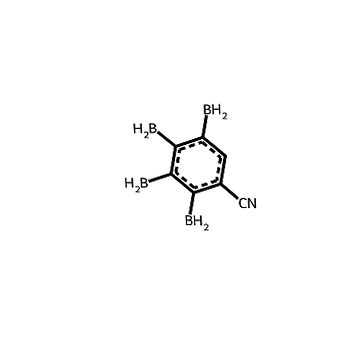 Bc1cc(C#N)c(B)c(B)c1B